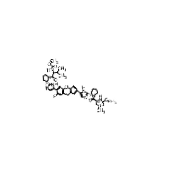 COC[C@H](NC(=O)OC)C(=O)N1CCC[C@H]1c1ncc(-c2ccc3c(c2)Cc2cc(F)c(-c4cnc([C@@H]5CCCN5C(=O)[C@@H](NC(=O)OC)C(C)C)[nH]4)cc2O3)[nH]1